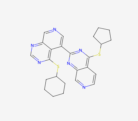 c1cc2c(SC3CCCC3)nc(-c3cncc4ncnc(SC5CCCCC5)c34)nc2cn1